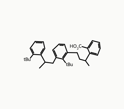 CC(CCc1cccc(CC(C)c2ccccc2C(C)(C)C)c1C(C)(C)C)c1ccccc1C(=O)O